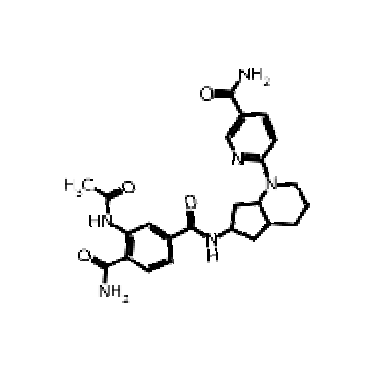 CC(=O)Nc1cc(C(=O)NC2CC3CCCN(c4ccc(C(N)=O)cn4)C3C2)ccc1C(N)=O